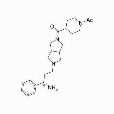 CC(=O)N1CCC(C(=O)N2CC3CN(CC[C@H](N)c4ccccc4)CC3C2)CC1